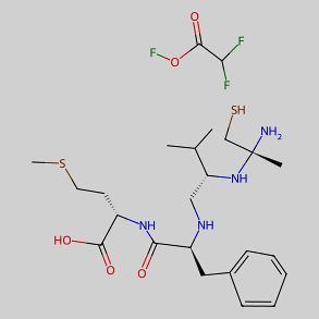 CSCC[C@H](NC(=O)[C@H](Cc1ccccc1)NC[C@@H](N[C@@](C)(N)CS)C(C)C)C(=O)O.O=C(OF)C(F)F